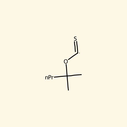 CCCC(C)(C)O[C]=S